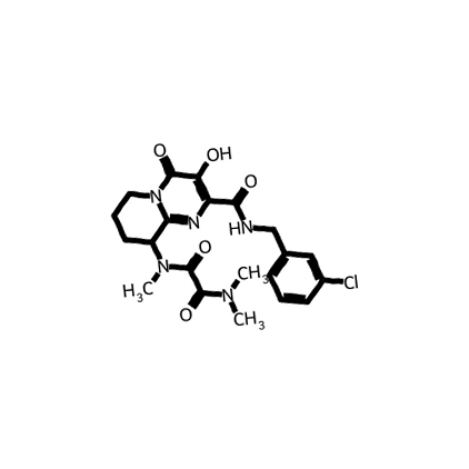 CN(C)C(=O)C(=O)N(C)C1CCCn2c1nc(C(=O)NCc1cccc(Cl)c1)c(O)c2=O